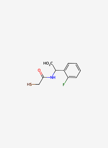 O=C(CS)NC(C(=O)O)c1ccccc1F